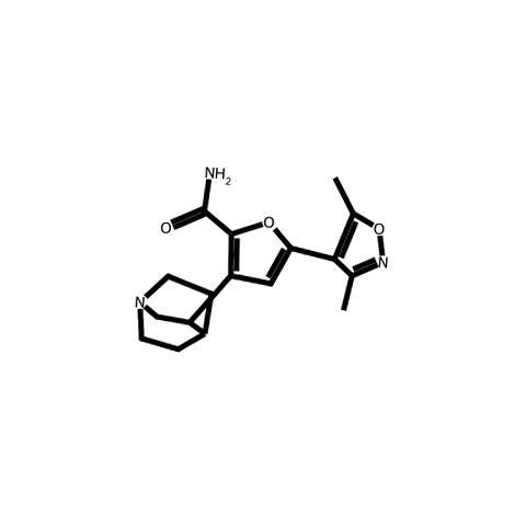 Cc1noc(C)c1-c1cc(C2CN3CCC2CC3)c(C(N)=O)o1